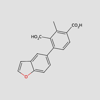 Cc1c(C(=O)O)ccc(-c2ccc3occc3c2)c1C(=O)O